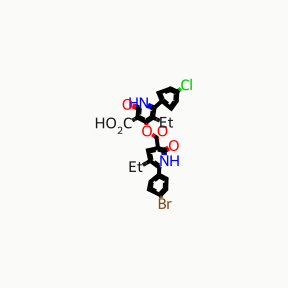 CCc1cc(C(=O)Oc2c(CC)c(-c3ccc(Cl)cc3)[nH]c(=O)c2C(=O)O)c(=O)[nH]c1-c1ccc(Br)cc1